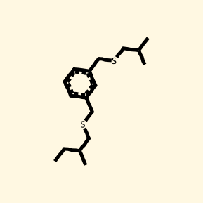 CCC(C)CSCc1cccc(CSCC(C)C)c1